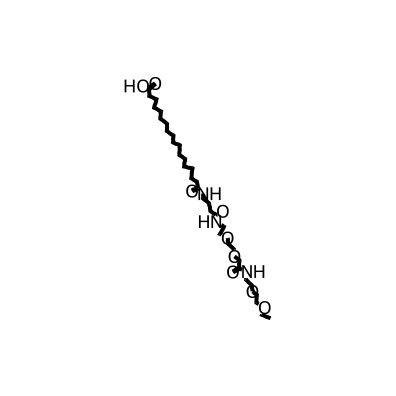 CCOCCOCCNC(=O)COCCOCCNC(=O)CCCNC(=O)CCCCCCCCCCCCCCCCC(=O)O